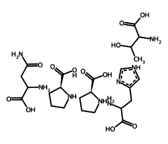 CC(O)C(N)C(=O)O.NC(=O)CC(N)C(=O)O.NC(Cc1c[nH]cn1)C(=O)O.O=C(O)[C@@H]1CCCN1.O=C(O)[C@@H]1CCCN1